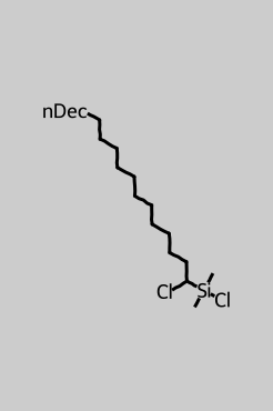 CCCCCCCCCCCCCCCCCCCCCC(Cl)[Si](C)(C)Cl